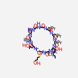 C/C=C/C[C@@H](C)[C@@H](O)[C@H]1C(=O)N[C@@H](CC)C(=O)N(C)[C@H](CSCCCCO)C(=O)CN(C)[C@@H](CC(C)(C)O)C(=O)N[C@@H](C(C)C)C(=O)N(C)[C@@H](CC(C)C)C(=O)N[C@@H](C)C(=O)N[C@H](C)C(=O)N(C)[C@@H](CC(C)C)C(=O)N(C)[C@@H](CC(C)C)C(=O)N(C)[C@@H](C(C)C)C(=O)N1C